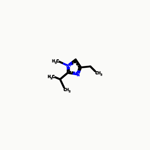 CCc1cn(C)c(C(C)C)n1